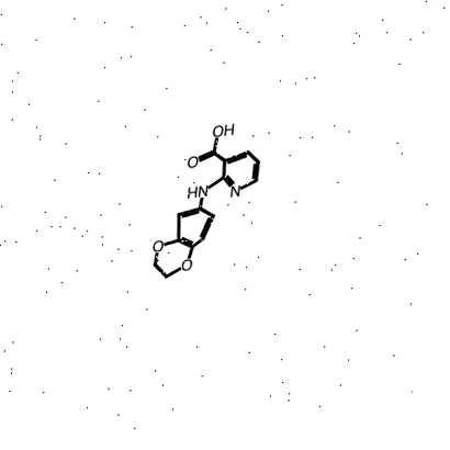 O=C(O)c1cccnc1Nc1ccc2c(c1)OCCO2